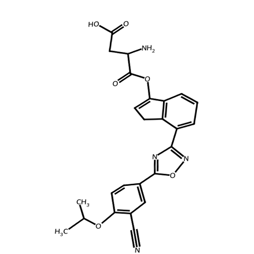 CC(C)Oc1ccc(-c2nc(-c3cccc4c3CC=C4OC(=O)C(N)CC(=O)O)no2)cc1C#N